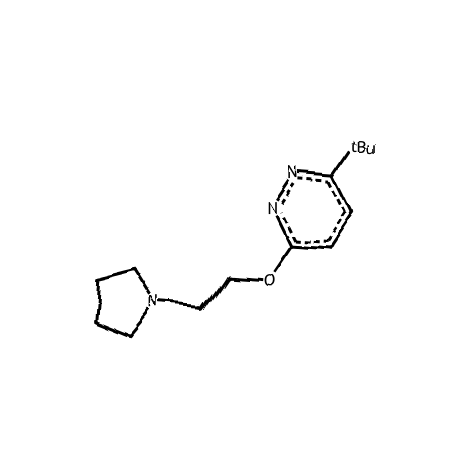 CC(C)(C)c1ccc(OCCN2CCCC2)nn1